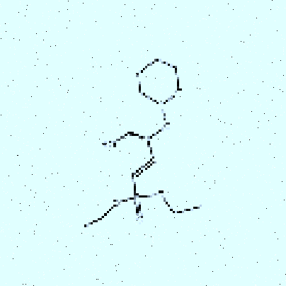 CCOP(=O)(/C=C/[C@@H](CO)O[C@@H]1CCCCO1)OCC